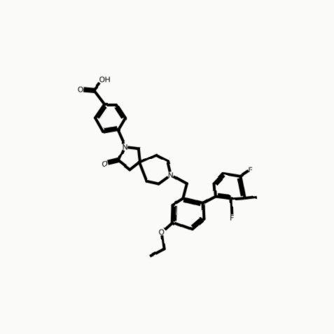 CCOc1ccc(-c2ccc(F)c(C)c2F)c(CN2CCC3(CC2)CC(=O)N(c2ccc(C(=O)O)cc2)C3)c1